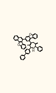 C=C1CC(c2cc(-c3cc4ccccc4c4oc5ccccc5c34)cc3oc4ccccc4c23)=C(C)C(c2ccc(-c3ccccc3)cc2)NC1c1ccccc1